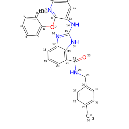 CC(C)(C)c1ccccc1Oc1ncccc1Nc1nc2cccc(C(=O)NCc3ccc(C(F)(F)F)cc3)c2[nH]1